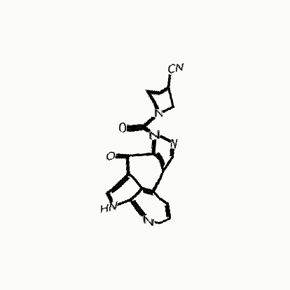 N#CC1CN(C(=O)n2ncc3c2C(=O)c2c[nH]c4nccc-3c24)C1